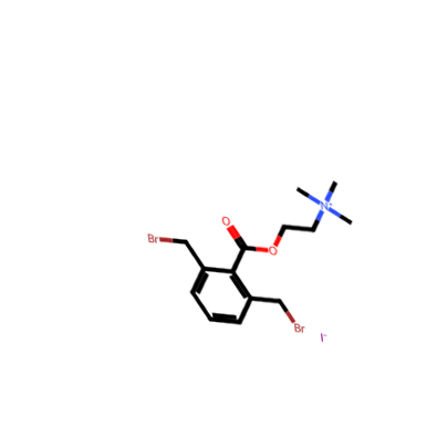 C[N+](C)(C)CCOC(=O)c1c(CBr)cccc1CBr.[I-]